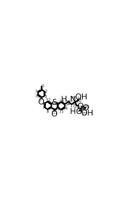 Cc1ccc(Oc2ccc3c(=O)c4ccc(CCC(N)(CO)COP(=O)(O)O)cc4sc3c2)cc1